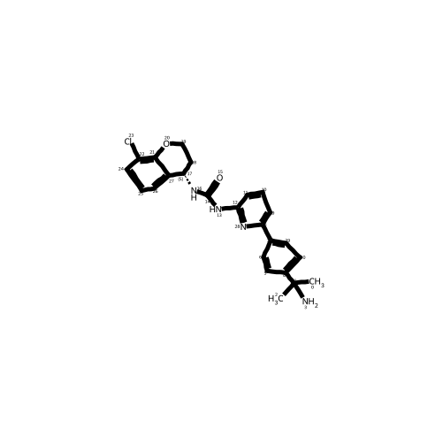 CC(C)(N)c1ccc(-c2cccc(NC(=O)N[C@H]3CCOc4c(Cl)cccc43)n2)cc1